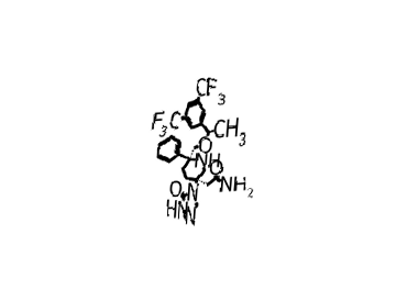 C[C@@H](OC[C@@]1(c2ccccc2)CC[C@](CC(N)=O)(n2cn[nH]c2=O)CN1)c1cc(C(F)(F)F)cc(C(F)(F)F)c1